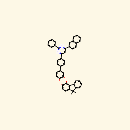 CC1(C)c2ccccc2-c2c1ccc1c2Oc2cc(-c3ccc(-c4cc(-c5ccc6ccccc6c5)nc(-c5ccccc5)n4)cc3)ccc2O1